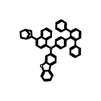 c1ccc(-c2cccc(-c3ccccc3)c2-c2ccc(N(c3ccc4c(c3)oc3ccccc34)c3ccc(C4CC5CCC4C5)c4ccccc34)cc2)cc1